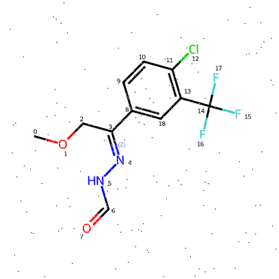 COC/C(=N\NC=O)c1ccc(Cl)c(C(F)(F)F)c1